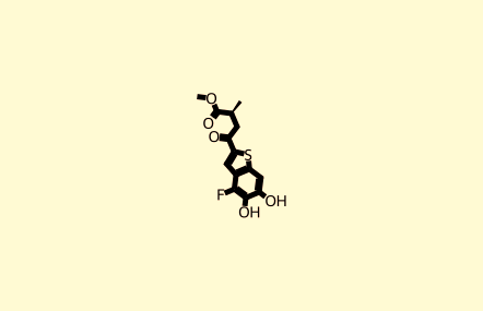 COC(=O)[C@@H](C)CC(=O)c1cc2c(F)c(O)c(O)cc2s1